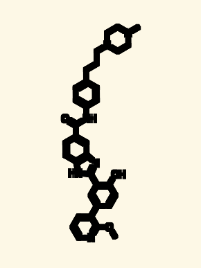 COc1ncccc1-c1ccc(O)c(-c2nc3cc(C(=O)Nc4ccc(CCCN5CCN(C)CC5)cc4)ccc3[nH]2)c1